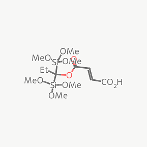 CCC(OC(=O)/C=C/C(=O)O)([Si](OC)(OC)OC)[Si](OC)(OC)OC